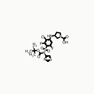 CC(C)(C)OC(=O)N(c1cscn1)S(=O)(=O)c1c(F)cc(NC2CCN(C(=O)O)C2)c(Cl)c1F